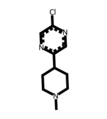 CN1CCC(c2cnc(Cl)cn2)CC1